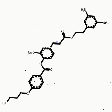 COc1cc(/C=C/C(=O)OCCc2cc(N)cc(N)c2)ccc1OC(=O)c1ccc(OCCCC(F)(F)F)cc1